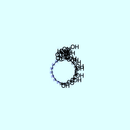 C=C[C@@H]1[C@H](O)[C@@H](C)/C=C/C=C/C=C/C=C/C=C/C=C/C=C/[C@H](OC2CC(NC(=N)NO)[C@H](O)[C@@H](C)O2)CC[C@H](NC(=O)NNC(=O)CCO)[C@@H](O)CC(O)(O)C[C@@H](O)C[C@@H](O)[C@H](O)CC[C@@H](O)C[C@@H](O)CC(=O)O[C@H]1C